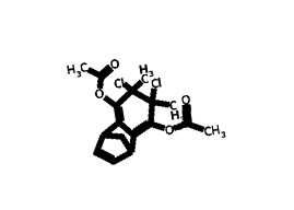 CC(=O)OC1=C2C(=C(OC(C)=O)C(C)(Cl)C1(C)Cl)C1C=CC2C1